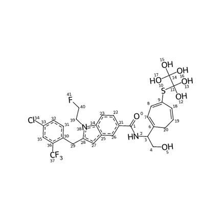 O=C(NC(CO)C1=CC=C(SC(O)(O)C(O)(O)O)C=CC1)c1ccc2c(c1)cc(Cc1ccc(Cl)cc1C(F)(F)F)n2CCF